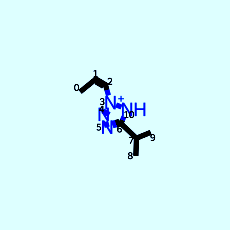 C/C=C\[n+]1nnc(C(C)C)[nH]1